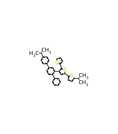 CC(C)c1ccc(-c2ccc(-c3ccccc3)c(-c3cc(-c4ccc(C(C)C)s4)sc3-c3cccs3)c2)cc1